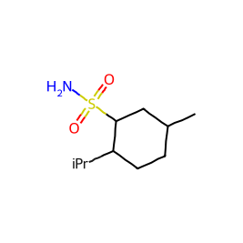 CC1CCC(C(C)C)C(S(N)(=O)=O)C1